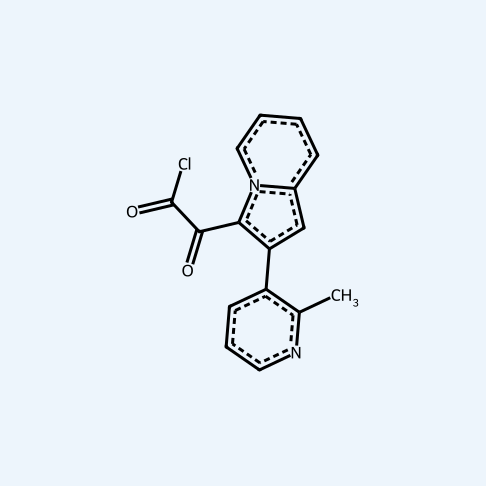 Cc1ncccc1-c1cc2ccccn2c1C(=O)C(=O)Cl